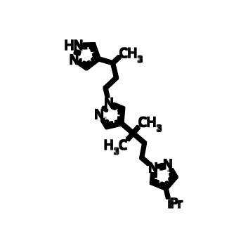 CC(C)c1cnn(CCC(C)(C)c2cnn(CCC(C)c3cn[nH]c3)c2)c1